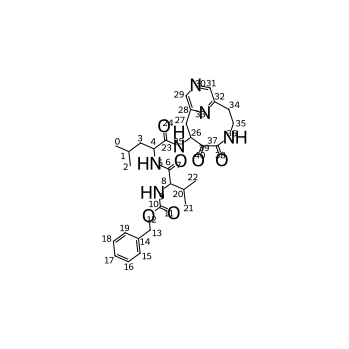 CC(C)CC(NC(=O)C(NC(=O)OCc1ccccc1)C(C)C)C(=O)NC1Cc2cncc(n2)CCNC(=O)C1=O